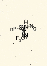 CCCc1cc2c(N3CCn4c(nnc4C(F)(F)F)C3)nc(NCC3CCN(Cc4ccccc4)C3)nc2s1